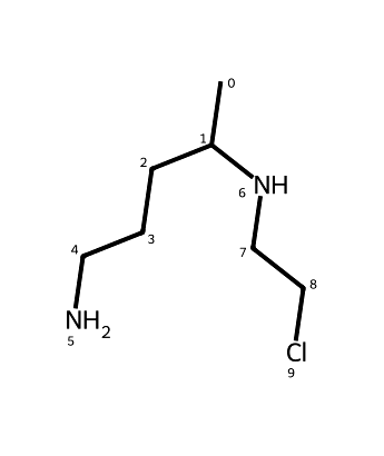 CC(CCCN)NCCCl